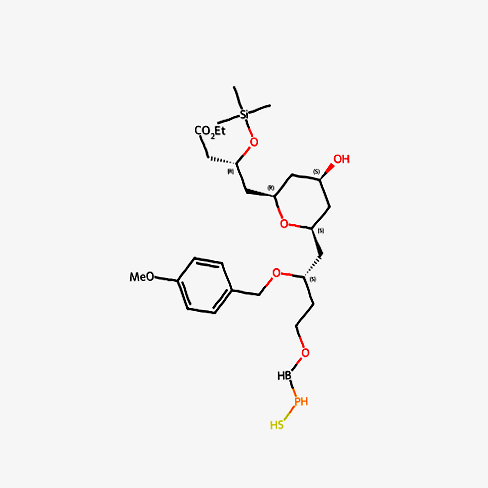 CCOC(=O)C[C@@H](C[C@H]1C[C@@H](O)C[C@@H](C[C@H](CCOBPS)OCc2ccc(OC)cc2)O1)O[Si](C)(C)C